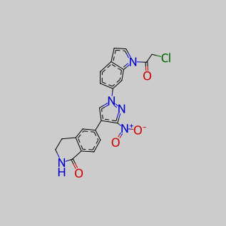 O=C1NCCc2cc(-c3cn(-c4ccc5ccn(C(=O)CCl)c5c4)nc3[N+](=O)[O-])ccc21